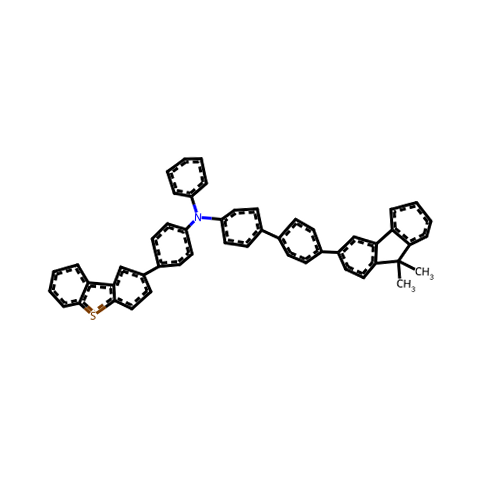 CC1(C)c2ccccc2-c2cc(-c3ccc(-c4ccc(N(c5ccccc5)c5ccc(-c6ccc7sc8ccccc8c7c6)cc5)cc4)cc3)ccc21